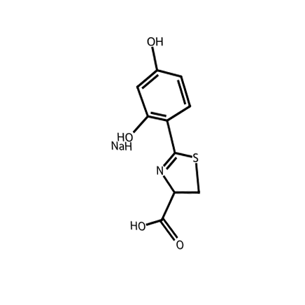 O=C(O)C1CSC(c2ccc(O)cc2O)=N1.[NaH]